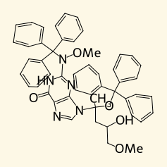 COCC(O)CC(C)(OC(c1ccccc1)(c1ccccc1)c1ccccc1)n1cnc2c(=O)[nH]c(N(OC)C(c3ccccc3)(c3ccccc3)c3ccccc3)nc21